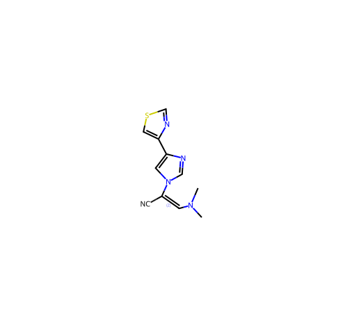 CN(C)/C=C(/C#N)n1cnc(-c2cscn2)c1